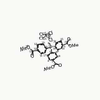 COC(=O)c1ccc([P+](C)(c2ccc(C(=O)OC)cc2)c2ccc(C(=O)OC)cc2)cc1.[Cl][Fe-]([Cl])([Cl])[Cl]